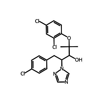 CC(C)(Oc1ccc(Cl)cc1Cl)C(O)C(Cc1ccc(Cl)cc1)n1cncn1